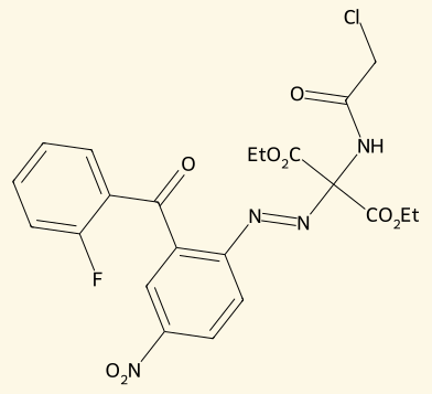 CCOC(=O)C(N=Nc1ccc([N+](=O)[O-])cc1C(=O)c1ccccc1F)(NC(=O)CCl)C(=O)OCC